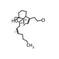 CCCC/C=C\C[C@H](O)[C@@]12SC=C(CCCl)C1CCCC2=O